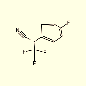 N#C[C@H](c1ccc(F)cc1)C(F)(F)F